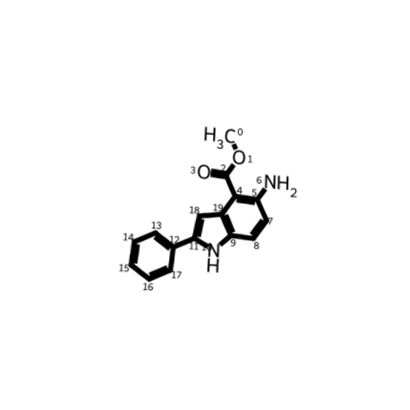 COC(=O)c1c(N)ccc2[nH]c(-c3ccccc3)cc12